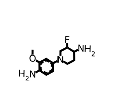 COc1cc(N2CCC(N)C(F)C2)ccc1N